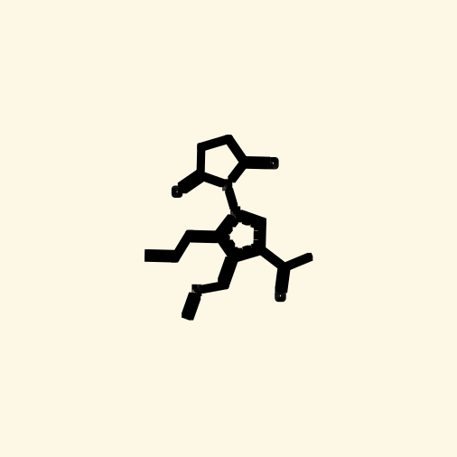 C=C/C=c1\c(=C/N=C)c(C(C)=O)cn1N1C(=O)CCC1=O